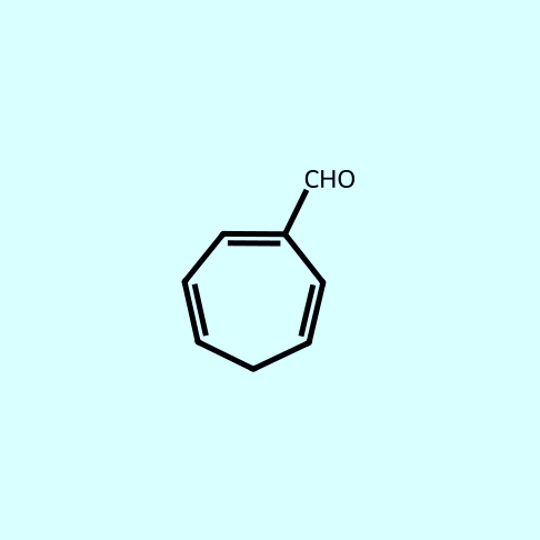 O=CC1=CC=CCC=C1